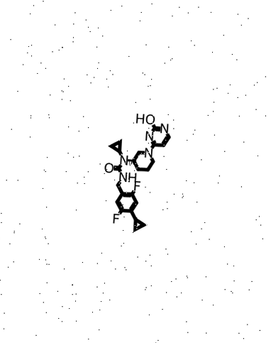 O=C(NCc1cc(F)c(C2CC2)cc1F)N(C1CC1)[C@@H]1CCCN(c2ccnc(O)n2)C1